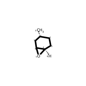 C[C@@H]1CC[C@H]2OC2C1